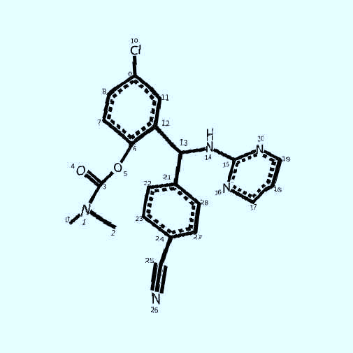 CN(C)C(=O)Oc1ccc(Cl)cc1C(Nc1ncccn1)c1ccc(C#N)cc1